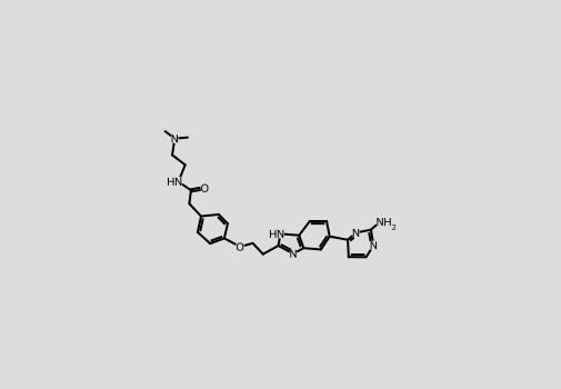 CN(C)CCNC(=O)Cc1ccc(OCCc2nc3cc(-c4ccnc(N)n4)ccc3[nH]2)cc1